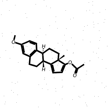 COc1ccc2c(c1)CC[C@H]1C3=CC=C(OC(C)=O)[C@@]3(C)CC[C@H]21